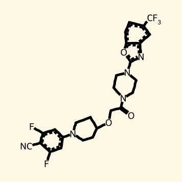 N#Cc1c(F)cc(N2CCC(OCC(=O)N3CCN(c4nc5cc(C(F)(F)F)ccc5o4)CC3)CC2)cc1F